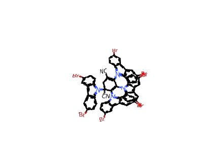 N#CC1=C(n2c3ccc(Br)cc3c3cc(Br)ccc32)C(n2c3ccc(Br)cc3c3cc(Br)ccc32)=C(n2c3ccc(Br)cc3c3cc(Br)ccc32)C(C#N)(n2c3ccc(Br)cc3c3cc(Br)ccc32)C1